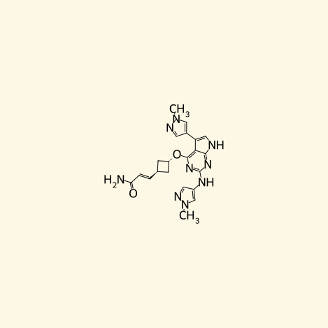 Cn1cc(Nc2nc(O[C@H]3C[C@H](C=CC(N)=O)C3)c3c(-c4cnn(C)c4)c[nH]c3n2)cn1